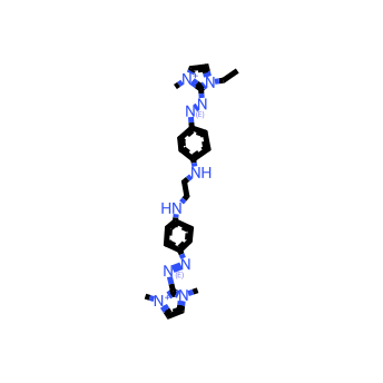 CCn1cc[n+](C)c1/N=N/c1ccc(NCCNc2ccc(/N=N/c3n(C)cc[n+]3C)cc2)cc1